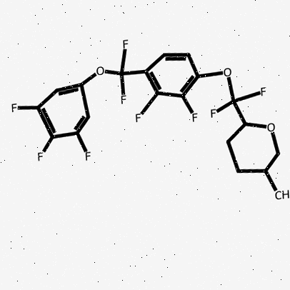 CC1CCC(C(F)(F)Oc2ccc(C(F)(F)Oc3cc(F)c(F)c(F)c3)c(F)c2F)OC1